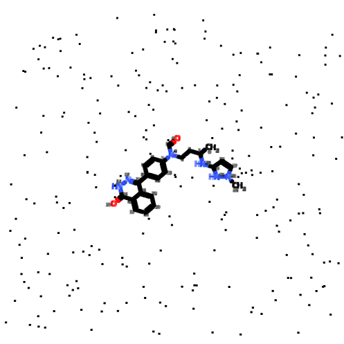 CC(CCN(C=O)c1ccc(-c2n[nH]c(=O)c3ccccc23)cc1)NC1C=CN(C)N1